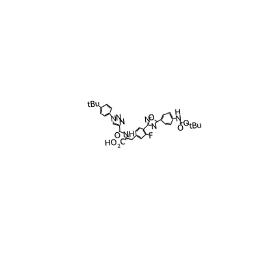 CC(C)(C)OC(=O)Nc1ccc(-c2nc(-c3ccc(C[C@H](NC(=O)c4cn(-c5ccc(C(C)(C)C)cc5)nn4)C(=O)O)cc3F)no2)cc1